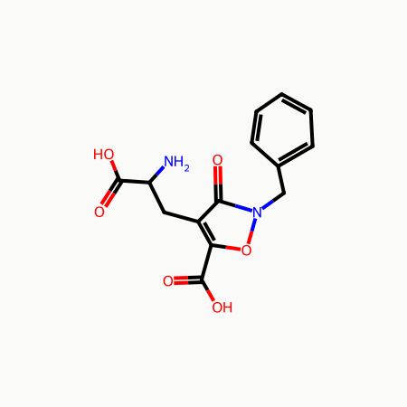 NC(Cc1c(C(=O)O)on(Cc2ccccc2)c1=O)C(=O)O